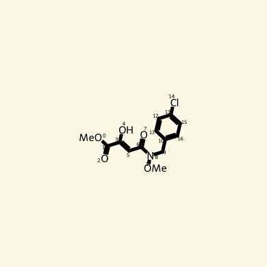 COC(=O)/C(O)=C/C(=O)N(Cc1ccc(Cl)cc1)OC